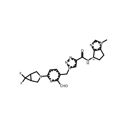 Cn1cnc2c1CC[C@H]2NC(=O)c1cn(Cc2ccc(N3CC4C(C3)C4(F)F)nc2C=O)nn1